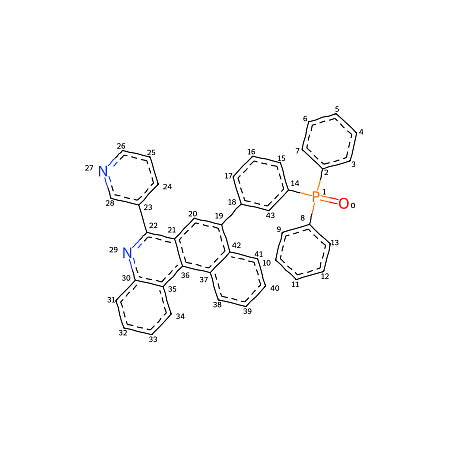 O=P(c1ccccc1)(c1ccccc1)c1cccc(-c2cc3c(-c4cccnc4)nc4ccccc4c3c3ccccc23)c1